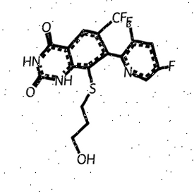 O=c1[nH]c(=O)c2cc(C(F)(F)F)c(-c3ncc(F)cc3F)c(SCCCO)c2[nH]1